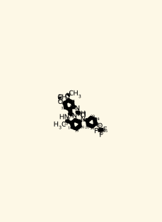 COc1cc2nc(Cl)nc(NC(C)c3cccc(Nc4ccc(OC(F)(F)F)cc4)c3)c2cc1OC